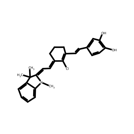 CN1/C(=C\C=C2/CCCC(/C=C/c3ccc(O)c(O)c3)=C2Cl)C(C)(C)c2ccccc21